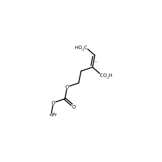 CCCOC(=O)OCC/C(=C\C(=O)O)C(=O)O